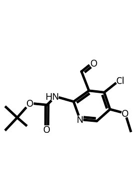 COc1cnc(NC(=O)OC(C)(C)C)c(C=O)c1Cl